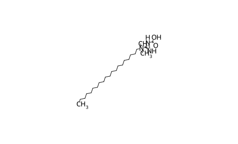 CCCCCCCCCCCCCCCCCCCC[N+](C)(C)C(=N)NC(=O)O